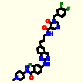 CN1CCC(NC(=O)c2ccc(Nc3ncc4cc(C=CCNC(=O)c5cncn(Cc6ccc(F)c(F)c6)c5=O)ccc4n3)cc2F)CC1